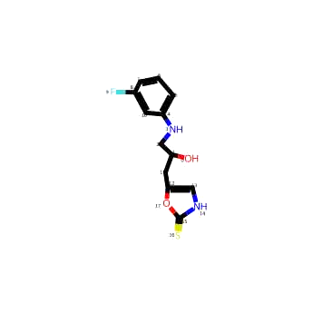 OC(CNc1cccc(F)c1)Cc1c[nH]c(=S)o1